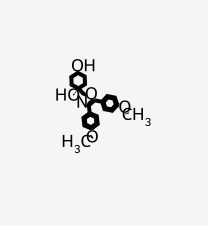 COc1ccc(-c2nc([C@]3(O)CC[C@@H](O)CC3)oc2-c2ccc(OC)cc2)cc1